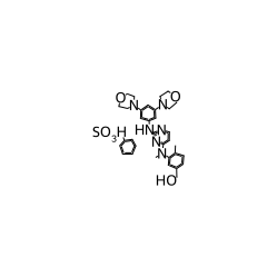 Cc1ccc(CO)cc1N(C)c1ccnc(Nc2cc(N3CCOCC3)cc(N3CCOCC3)c2)n1.O=S(=O)(O)c1ccccc1